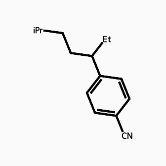 CCC(CCC(C)C)c1ccc(C#N)cc1